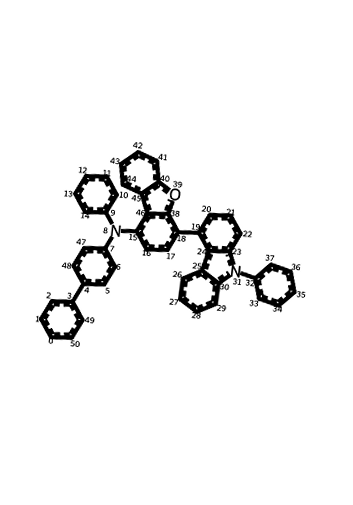 c1ccc(-c2ccc(N(c3ccccc3)c3ccc(-c4cccc5c4c4ccccc4n5-c4ccccc4)c4oc5ccccc5c34)cc2)cc1